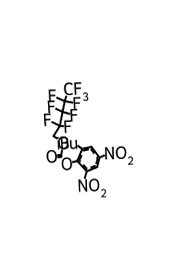 CCC(C)c1cc([N+](=O)[O-])cc([N+](=O)[O-])c1OC(=O)OCC(F)(F)C(F)(F)C(F)(F)C(F)(F)F